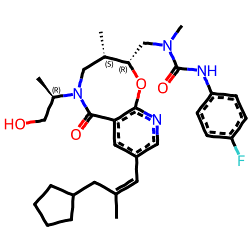 CC(=Cc1cnc2c(c1)C(=O)N([C@H](C)CO)C[C@H](C)[C@H](CN(C)C(=O)Nc1ccc(F)cc1)O2)CC1CCCC1